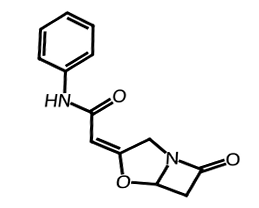 O=C(C=C1CN2C(=O)CC2O1)Nc1ccccc1